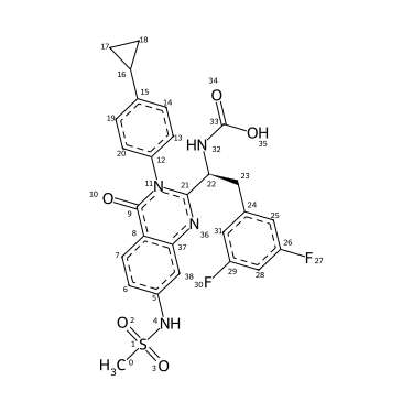 CS(=O)(=O)Nc1ccc2c(=O)n(-c3ccc(C4CC4)cc3)c([C@H](Cc3cc(F)cc(F)c3)NC(=O)O)nc2c1